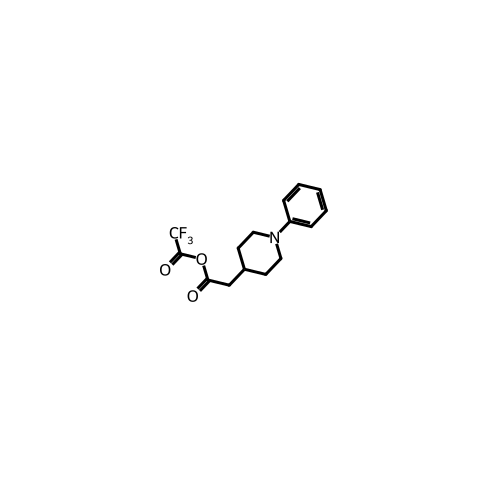 O=C(CC1CCN(c2ccccc2)CC1)OC(=O)C(F)(F)F